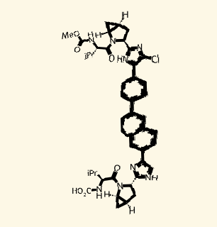 COC(=O)N[C@H](C(=O)N1[C@@H]2C[C@H]2C[C@H]1c1nc(Cl)c(-c2ccc(-c3ccc4cc(-c5c[nH]c([C@@H]6C[C@H]7C[C@H]7N6C(=O)[C@@H](NC(=O)O)C(C)C)n5)ccc4c3)cc2)[nH]1)C(C)C